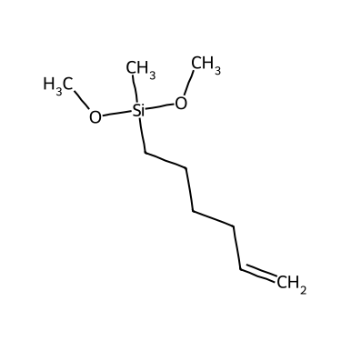 C=CCCCC[Si](C)(OC)OC